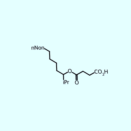 CCCCCCCCCCCCCC(OC(=O)CCC(=O)O)C(C)C